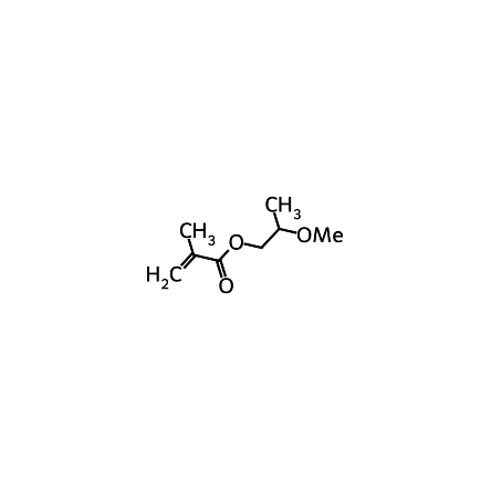 C=C(C)C(=O)OCC(C)OC